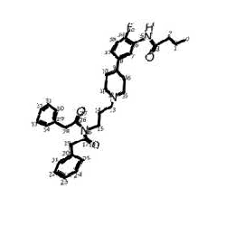 CCCC(=O)Nc1cc(C2CCN(CCCN(C(=O)Cc3ccccc3)C(=O)Cc3ccccc3)CC2)ccc1F